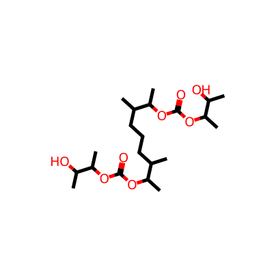 CC(O)C(C)OC(=O)OC(C)C(C)CCCC(C)C(C)OC(=O)OC(C)C(C)O